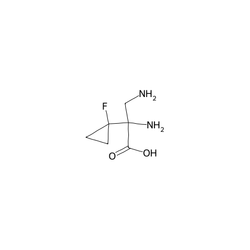 NCC(N)(C(=O)O)C1(F)CC1